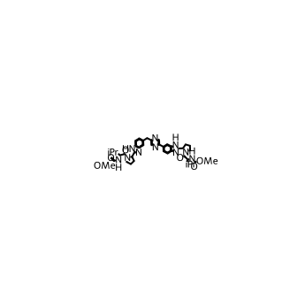 COC(=O)NC(C(=O)N1CCCC1c1nc2cc(Cc3cnc(-c4ccc5nc(C6CCCN6C(=O)C(NC(=O)OC)C(C)C)[nH]c5c4)cn3)ccc2[nH]1)C(C)C